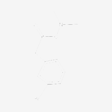 CN(C)OC(=O)Cc1cccc(Br)c1